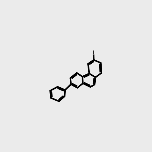 Ic1ccc2ccc3cc(-c4ccccc4)ccc3c2c1